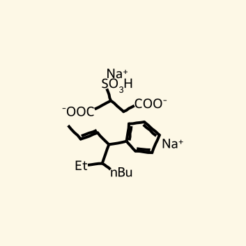 CC=CC(c1ccccc1)C(CC)CCCC.O=C([O-])CC(C(=O)[O-])S(=O)(=O)O.[Na+].[Na+]